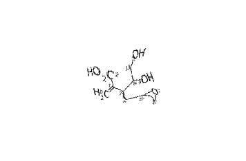 C=C(C(=O)O)C(CC1CO1)C(O)CO